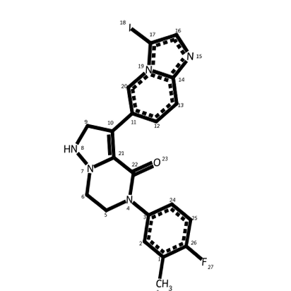 Cc1cc(N2CCN3NCC(c4ccc5ncc(I)n5c4)=C3C2=O)ccc1F